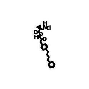 O=C(Cc1ccc(CCCCc2ccccc2)cc1)NOC(=O)C1(CNCl)CC1